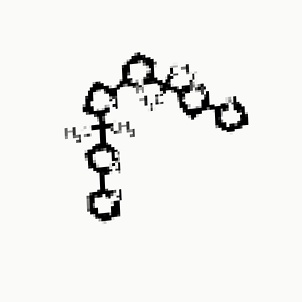 CC(C)(c1ccc(-c2ccccn2)nn1)c1cccc(-c2cccc(C(C)(C)c3ccc(-c4ccccn4)nn3)n2)n1